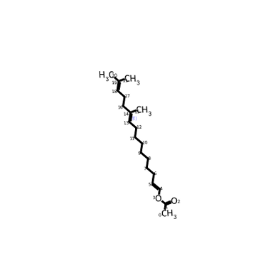 CC(=O)OC=CCCCCCCC/C=C(\C)CCC=C(C)C